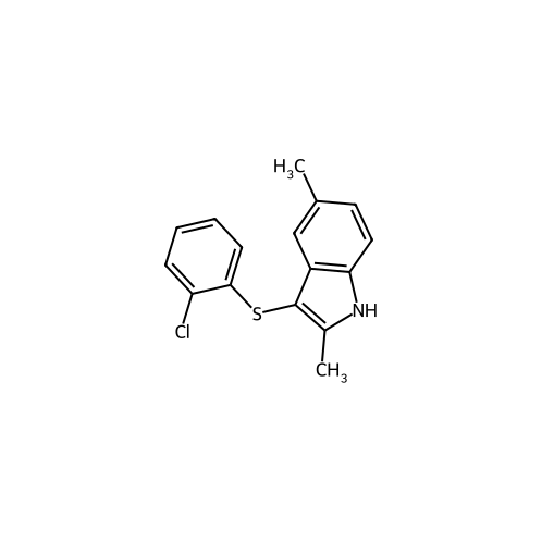 Cc1ccc2[nH]c(C)c(Sc3ccccc3Cl)c2c1